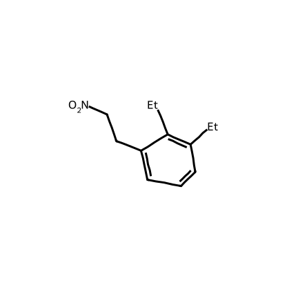 CCc1cccc(CC[N+](=O)[O-])c1CC